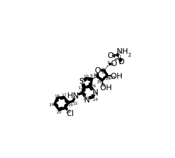 NS(=O)(=O)OC[C@H]1O[C@@H](c2csc3c(NCc4ccccc4Cl)ncnc23)[C@H](O)[C@@H]1O